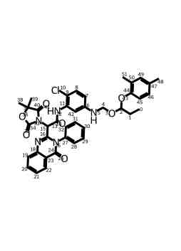 CCC(OCNc1ccc(Cl)c(NC(=O)C(c2nc3ccccc3c(=O)n2-c2ccccc2)N2C(=O)OC(C)(C)C2=O)c1)Oc1ccc(C)cc1C